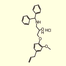 C=CCc1ccc(OCC(O)CNC(c2ccccc2)c2ccccc2)c(OC)c1.Cl